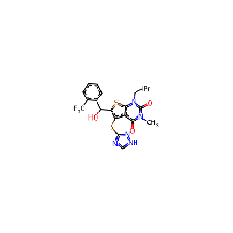 CC(C)Cn1c(=O)n(C)c(=O)c2c(Sc3nc[nH]n3)c(C(O)c3ccccc3C(F)(F)F)sc21